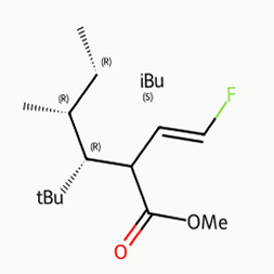 CC[C@H](C)[C@@H](C)[C@@H](C)[C@H](C(C=CF)C(=O)OC)C(C)(C)C